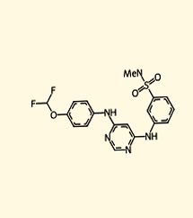 CNS(=O)(=O)c1cccc(Nc2cc(Nc3ccc(OC(F)F)cc3)ncn2)c1